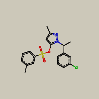 Cc1cccc(S(=O)(=O)Oc2cc(C)nn2C(C)c2cccc(Cl)c2)c1